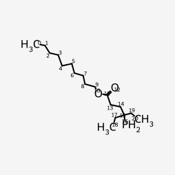 CCCCCCCCCCOC(=O)CCC(P)(CC)CC